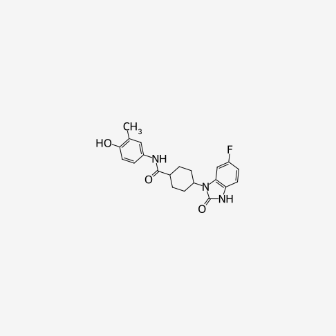 Cc1cc(NC(=O)C2CCC(n3c(=O)[nH]c4ccc(F)cc43)CC2)ccc1O